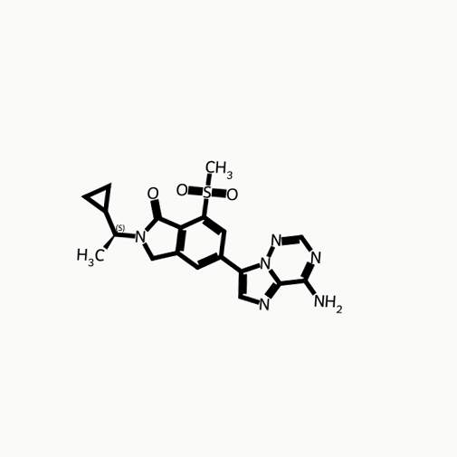 C[C@@H](C1CC1)N1Cc2cc(-c3cnc4c(N)ncnn34)cc(S(C)(=O)=O)c2C1=O